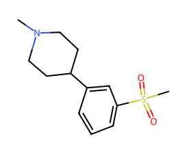 CN1CCC(c2cccc(S(C)(=O)=O)c2)CC1